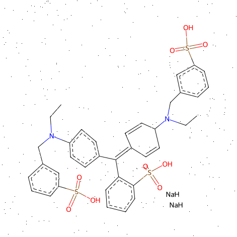 CCN(Cc1cccc(S(=O)(=O)O)c1)c1ccc(C(=C2C=CC(N(CC)Cc3cccc(S(=O)(=O)O)c3)C=C2)c2ccccc2S(=O)(=O)O)cc1.[NaH].[NaH]